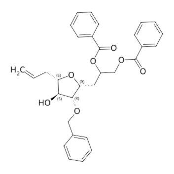 C=CC[C@@H]1O[C@H](CC(COC(=O)c2ccccc2)OC(=O)c2ccccc2)[C@H](OCc2ccccc2)[C@H]1O